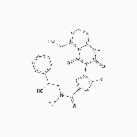 CN(CC(O)c1ccccc1)C(=O)c1cc(-n2c(=O)[nH]c3cccc(CO)c3c2=O)c(Cl)s1